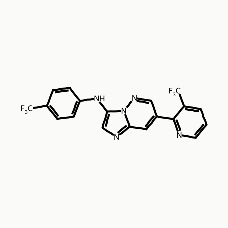 FC(F)(F)c1ccc(Nc2cnc3cc(-c4ncccc4C(F)(F)F)cnn23)cc1